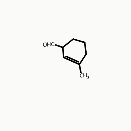 CC1=CC(C=O)CCC1